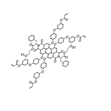 C=CC(=O)Oc1cccc(Oc2ccc(Oc3cc4c5c(cc(Oc6ccc(Oc7cccc(OC(=O)C=C)c7)cc6)c6c7c(Oc8ccc(Oc9cccc(OC(=O)C=C)c9)cc8)cc8c9c(cc(Oc%10ccc(Oc%11cccc(OC(=O)C=C)c%11)cc%10)c(c3c56)c97)C(=O)N(C(Cc3ccccc3)C(=O)OCCOCC)C8=O)C(=O)N(C(Cc3ccccc3)C(=O)OCCOCC)C4=O)cc2)c1